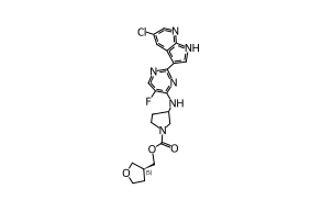 O=C(OC[C@H]1CCOC1)N1CCC(Nc2nc(-c3c[nH]c4ncc(Cl)cc34)ncc2F)C1